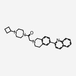 O=C(CN1CCc2cc(-c3ccc4ccccc4n3)ccc2C1)N1CCN(C2CCC2)CC1